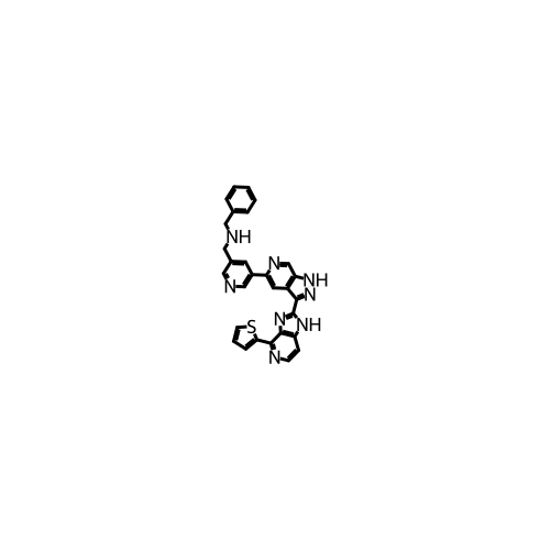 c1ccc(CNCc2cncc(-c3cc4c(-c5nc6c(-c7cccs7)nccc6[nH]5)n[nH]c4cn3)c2)cc1